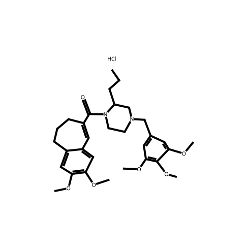 CCCC1CN(Cc2cc(OC)c(OC)c(OC)c2)CCN1C(=O)C1=Cc2cc(OC)c(OC)cc2CCC1.Cl